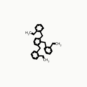 C=Cc1ccccc1Cc1cccc(Cc2ccccc2C=C)c1Cc1ccccc1C=C